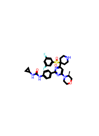 C[C@H]1COCCN1c1cc(C2(S(=O)(=O)c3cc(F)cc(F)c3)CCNCC2)nc(-c2ccc(NC(=O)NC3CC3)cc2)n1